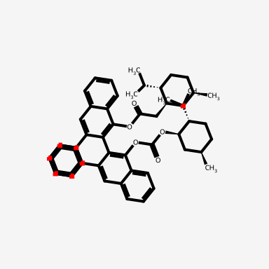 CC(C)[C@@H]1CC[C@@H](C)C[C@H]1CC(=O)Oc1c(-c2c(-c3ccccc3)cc3ccccc3c2OC(=O)O[C@@H]2C[C@H](C)CC[C@H]2C(C)C)c(-c2ccccc2)cc2ccccc12